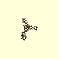 Cc1cc(-c2ccccc2)ccc1N1c2ccc(-c3ccccc3)cc2C(C)(C)c2cc(-c3ccc4oc5ccccc5c4c3)ccc21